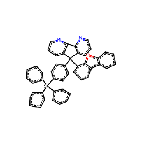 c1ccc([Si](c2ccccc2)(c2ccccc2)c2ccc(C3(c4cccc5c4oc4ccccc45)c4cccnc4-c4ncccc43)cc2)cc1